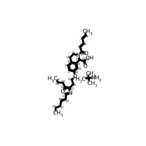 CC(C)(C)N.CC=CC=CC(=O)N1CCc2ccc(OCCc3nc(/C=C/CCC)oc3CCC)cc2C1C(=O)O